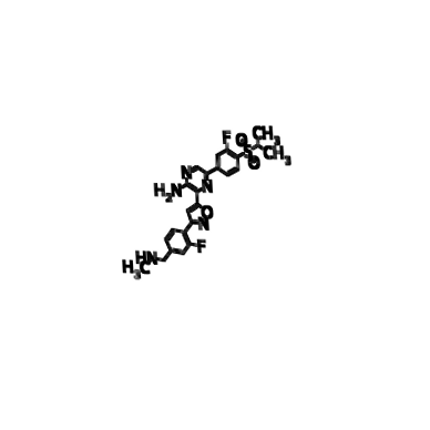 CNCc1ccc(-c2cc(-c3nc(-c4ccc(S(=O)(=O)C(C)C)c(F)c4)cnc3N)on2)c(F)c1